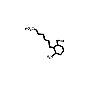 CCCCCCC1CCCC(N)C1CCCCCCC(=O)O